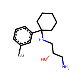 CC(C)(C)c1cccc(C2(NC[C@@H](O)CN)CCCCC2)c1